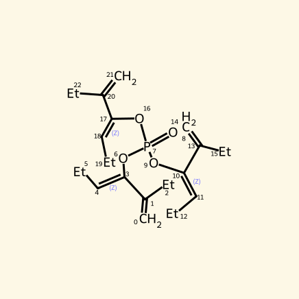 C=C(CC)/C(=C/CC)OP(=O)(O/C(=C\CC)C(=C)CC)O/C(=C\CC)C(=C)CC